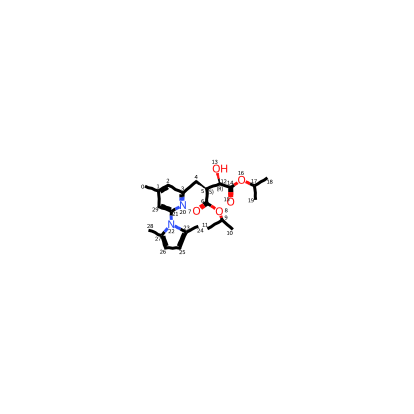 Cc1cc(C[C@H](C(=O)OC(C)C)[C@@H](O)C(=O)OC(C)C)nc(-n2c(C)ccc2C)c1